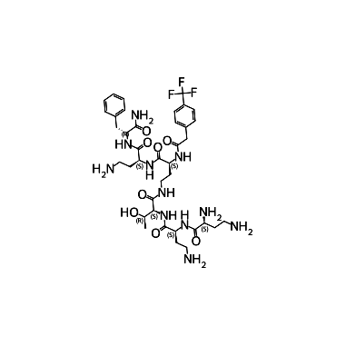 C[C@@H](O)[C@H](NC(=O)[C@H](CCN)NC(=O)[C@@H](N)CCN)C(=O)NCC[C@H](NC(=O)Cc1ccc(C(F)(F)F)cc1)C(=O)N[C@@H](CCN)C(=O)N[C@H](Cc1ccccc1)C(N)=O